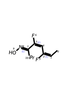 C\C=C(F)/C=C(F)\C(=N\O)C(C)C